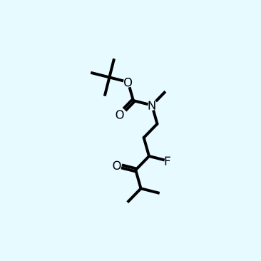 CC(C)C(=O)C(F)CCN(C)C(=O)OC(C)(C)C